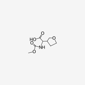 COC(=O)NC(C(=O)O)C1CCOC1